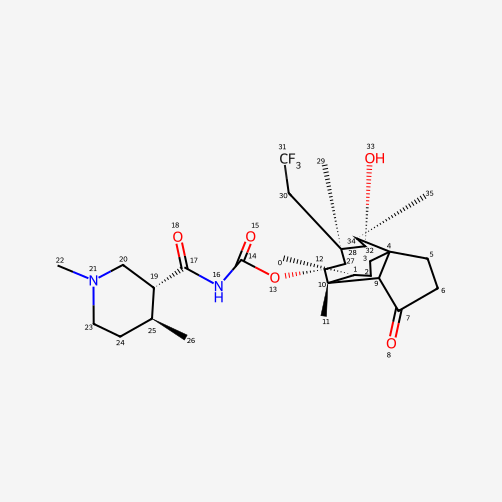 C[C@@H]1CCC23CCC(=O)C2[C@]1(C)[C@H](OC(=O)NC(=O)[C@H]1CN(C)CC[C@@H]1C)C[C@@](C)(CC(F)(F)F)[C@@H](O)[C@@H]3C